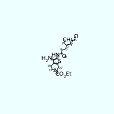 C=C/C(=C\C=C\Cl)CCC(=O)Nc1sc2c(c1N)CCN(C(=O)OCC)C2